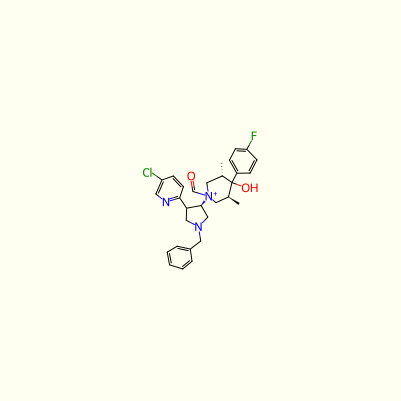 C[C@H]1C[N+](C=O)([C@H]2CN(Cc3ccccc3)CC2c2ccc(Cl)cn2)C[C@H](C)C1(O)c1ccc(F)cc1